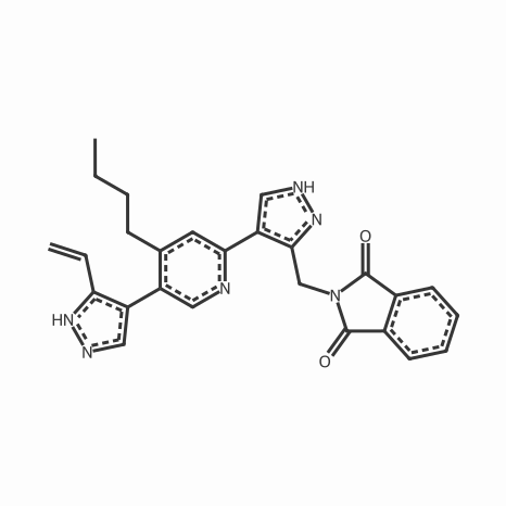 C=Cc1[nH]ncc1-c1cnc(-c2c[nH]nc2CN2C(=O)c3ccccc3C2=O)cc1CCCC